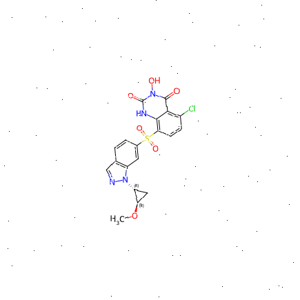 CO[C@@H]1C[C@H]1n1ncc2ccc(S(=O)(=O)c3ccc(Cl)c4c(=O)n(O)c(=O)[nH]c34)cc21